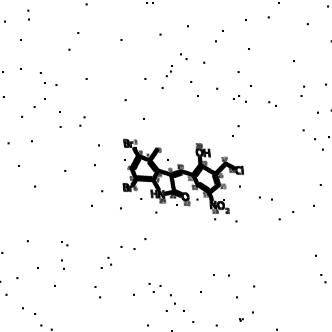 Cc1c(Br)cc(Br)c2c1C(=Cc1cc([N+](=O)[O-])cc(CCl)c1O)C(=O)N2